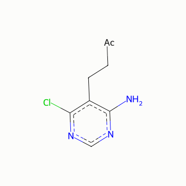 CC(=O)CCc1c(N)ncnc1Cl